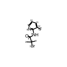 CC(C)(Br)C(=O)Nc1ncccc1F